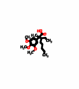 CCCCCC(CC)C(C)(C(=O)O)c1cc(OC)c(OC)c(OC)c1